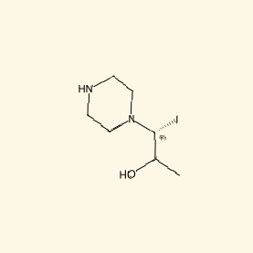 CC(O)[C@@H](I)N1CCNCC1